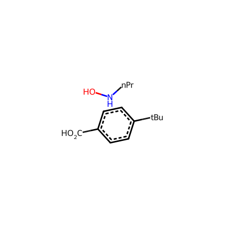 CC(C)(C)c1ccc(C(=O)O)cc1.CCCNO